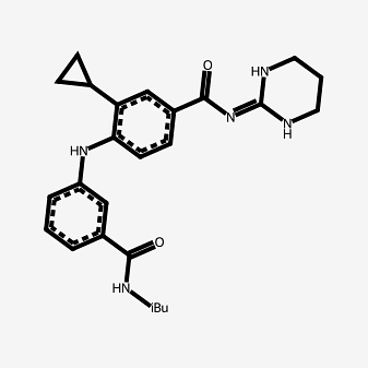 CCC(C)NC(=O)c1cccc(Nc2ccc(C(=O)N=C3NCCCN3)cc2C2CC2)c1